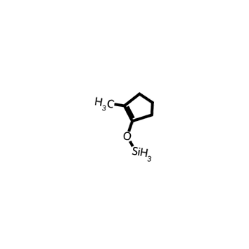 CC1=C(O[SiH3])CCC1